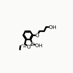 CC[C@H]1OB(O)c2c(OCCCO)cccc21